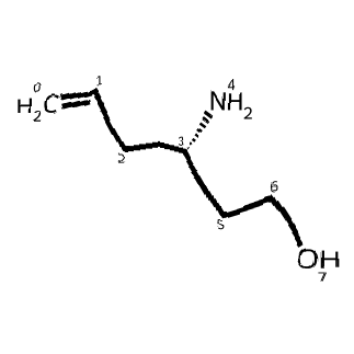 C=CC[C@H](N)CCO